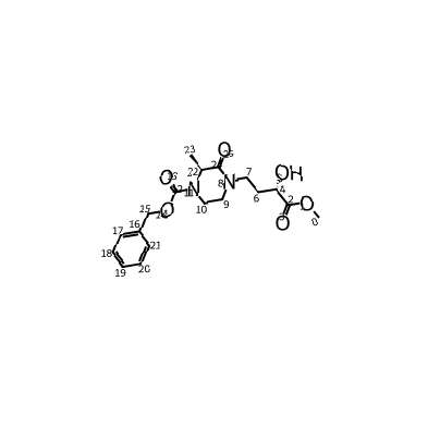 COC(=O)[C@@H](O)CCN1CCN(C(=O)OCc2ccccc2)[C@@H](C)C1=O